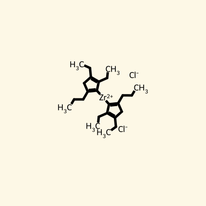 CCCC1=[C]([Zr+2][C]2=C(CCC)CC(CC)=C2CC)C(CC)=C(CC)C1.[Cl-].[Cl-]